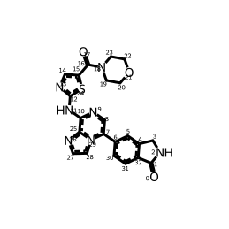 O=C1NCc2cc(-c3cnc(Nc4ncc(C(=O)N5CCOCC5)s4)c4nccn34)ccc21